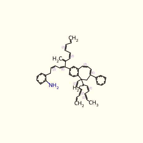 C=C/C=C\C=C/C(=C)/C(=C\C=C/Cc1ccccc1N)c1ccc2c(c1)/C=C\C=C(\c1ccccc1)CC2(/C=C\C=C/C=C)C(=C)/C=C\C=C/C